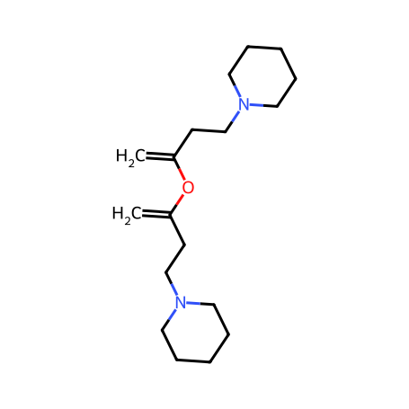 C=C(CCN1CCCCC1)OC(=C)CCN1CCCCC1